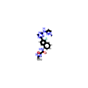 Cn1ccc(Nc2ncnc(-c3ccc4c(c3F)CCCC[C@@H]4NC(=O)c3nc(C(C)(C)C)no3)n2)n1